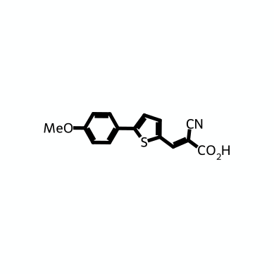 COc1ccc(-c2ccc(/C=C(\C#N)C(=O)O)s2)cc1